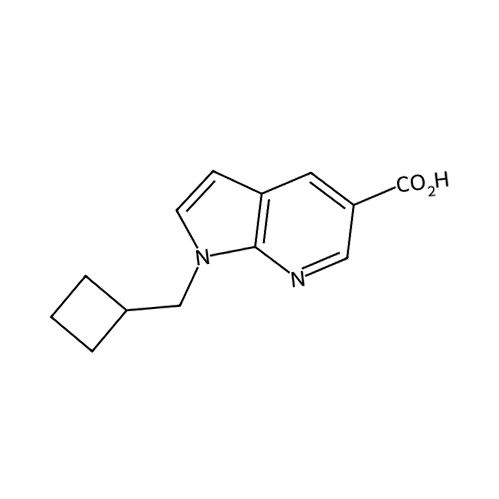 O=C(O)c1cnc2c(ccn2CC2CCC2)c1